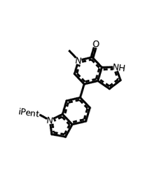 CCCC(C)n1ccc2ccc(-c3cn(C)c(=O)c4[nH]ccc34)cc21